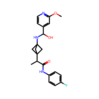 COc1cc(C(O)NC23CC(C(C)C(=O)Nc4ccc(F)cc4)(C2)C3)ccn1